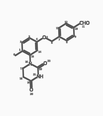 Cc1ccc(OCc2ccc(C=O)cc2)cc1N1CCC(=O)NC1=O